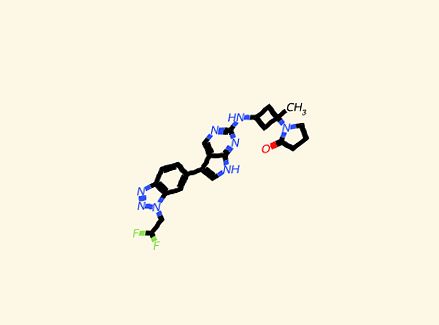 CC1(N2CCCC2=O)CC(Nc2ncc3c(-c4ccc5nnn(CC(F)F)c5c4)c[nH]c3n2)C1